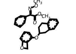 CON=C(C(=O)OC)c1ccccc1.c1ccc2c(c1)CCC(Oc1cccc3c1CO3)C2